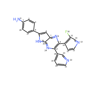 Nc1ccc(-c2cc3nc(-c4ccncc4F)c(-c4cccnc4)nc3[nH]2)cc1